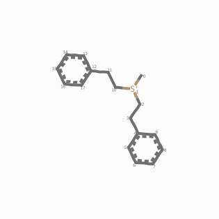 C[S+](CCc1ccccc1)CCc1ccccc1